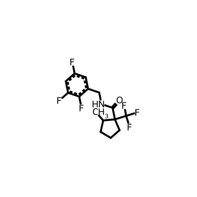 CC1CCCC1(C(=O)NCc1cc(F)cc(F)c1F)C(F)(F)F